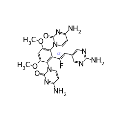 COc1cc(OC)c(-n2ccc(N)nc2=O)c(/C(F)=C/c2cnc(N)nc2)c1-n1ccc(N)nc1=O